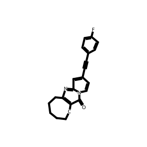 O=c1c2c(nc3cc(C#Cc4ccc(F)cc4)ccn13)CCCCCC2